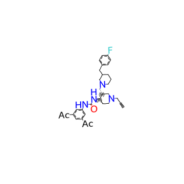 C#CCN1CC[C@@H](NC(=O)Nc2cc(C(C)=O)cc(C(C)=O)c2)[C@H](CN2CCCC(Cc3ccc(F)cc3)C2)C1